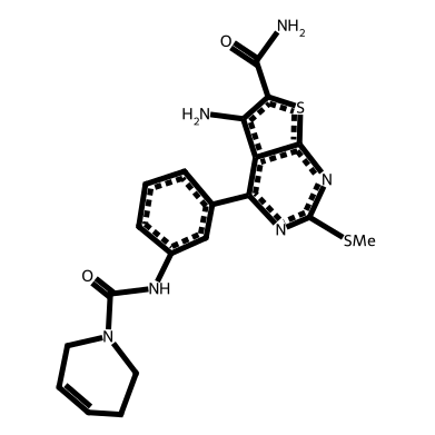 CSc1nc(-c2cccc(NC(=O)N3CC=CCC3)c2)c2c(N)c(C(N)=O)sc2n1